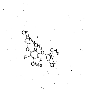 COc1c(F)c(Oc2cc(C(F)(F)F)nn2C)nc(Oc2cc(C(F)(F)F)nn2C)c1F